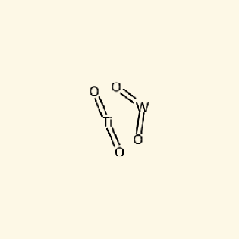 [O]=[Ti]=[O].[O]=[W]=[O]